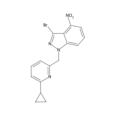 O=[N+]([O-])c1cccc2c1c(Br)nn2Cc1cccc(C2CC2)n1